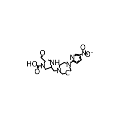 CNC(CN1CCCN(c2ccc([N+](=O)[O-])cn2)CC1)CN(CC=O)C(=O)O